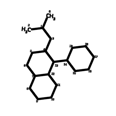 CC(C)CC1CCC2CCCCC2C1C1CCCCC1